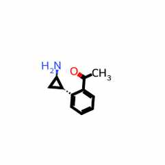 CC(=O)c1ccccc1[C@@H]1C[C@H]1N